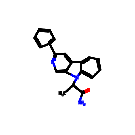 CC(C(N)=O)n1c2ccccc2c2cc(-c3ccccc3)ncc21